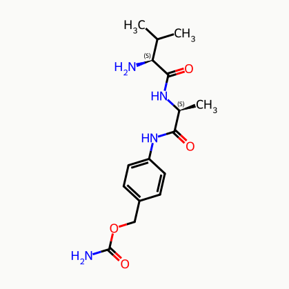 CC(C)[C@H](N)C(=O)N[C@@H](C)C(=O)Nc1ccc(COC(N)=O)cc1